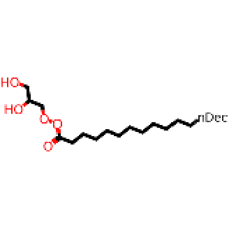 CCCCCCCCCCCCCCCCCCCCCC(=O)OOCC(O)CO